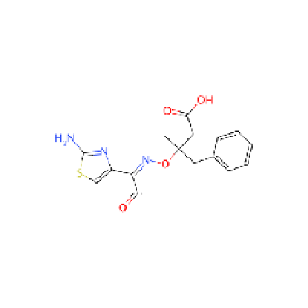 CC(CC(=O)O)(Cc1ccccc1)O/N=C(\[C]=O)c1csc(N)n1